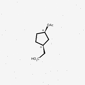 CC(=O)O[C@@H]1CC[C@H](CC(=O)O)C1